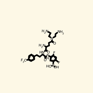 NCCN(CCN)C(=O)CCC(N)C(=O)NC(CCc1ccc(C(F)(F)F)cc1)C(=O)Nc1cc(B(O)O)c(F)cc1F